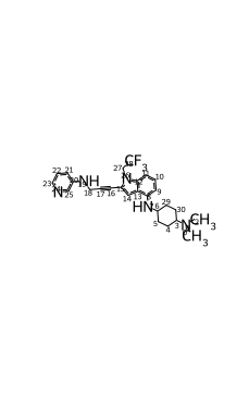 CN(C)C1CCC(Nc2cccc3c2cc(C#CCNc2cccnc2)n3CC(F)(F)F)CC1